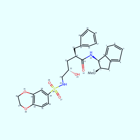 CO[C@@H]1Cc2ccccc2[C@@H]1NC(=O)[C@H](Cc1ccccc1)C[C@H](O)CNS(=O)(=O)c1ccc2c(c1)OCCO2